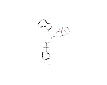 COc1ccc(C(F)(F)C(=O)N[C@@H](Cc2coc3ccccc23)B2O[C@@H]3CC4CC(C4(C)C)[C@]3(C)O2)cc1